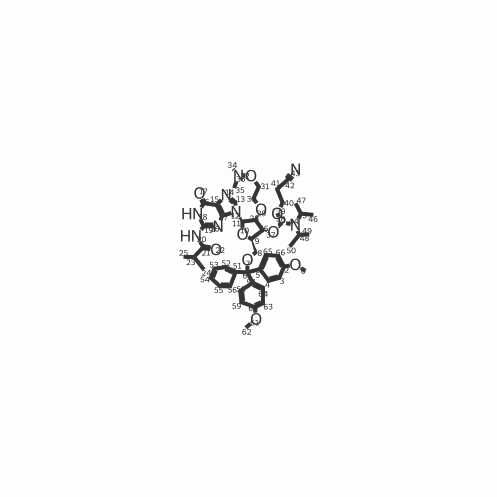 COc1ccc(C(OC[C@H]2O[C@@H](n3cnc4c(=O)[nH]c(NC(=O)C(C)C)nc43)[C@H](OCCON(C)C)[C@@H]2OP(OCCC#N)N(C(C)C)C(C)C)(c2ccccc2)c2ccc(OC)cc2)cc1